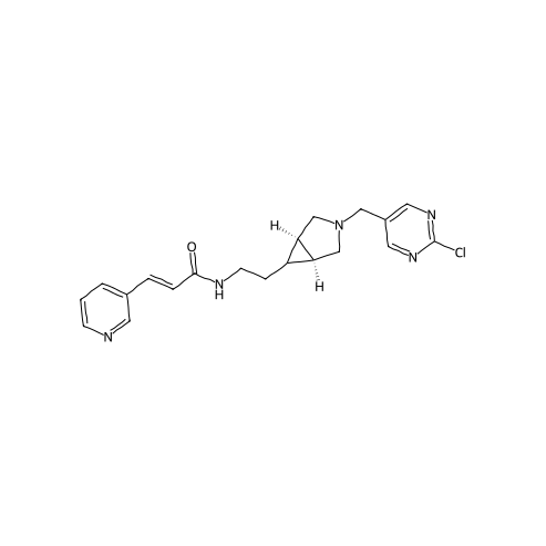 O=C(/C=C/c1cccnc1)NCCC1[C@H]2CN(Cc3cnc(Cl)nc3)C[C@@H]12